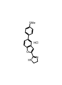 CSc1ccc(-c2ccc3oc(C4=NCCN4)cc3c2)cc1.Cl